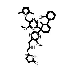 COc1nc(C2(c3cnc(Cn4c(C)ccc4C)c(OC)n3)C=CC=C(c3ccccc3Cl)C2Cl)cnc1CNC[C@@H]1CCC(=O)N1